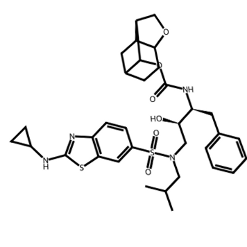 CC(C)CN(C[C@@H](O)[C@H](Cc1ccccc1)NC(=O)OC1C2CCC3OCC1C3C2)S(=O)(=O)c1ccc2nc(NC3CC3)sc2c1